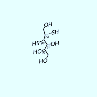 OC[C@@H](O)[C@@H](O)[C@@H](S)[C@@H](S)CO